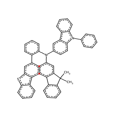 CC1(C)c2ccccc2-c2ccc(N(c3ccc4c(c3)c3ccccc3n4-c3ccccc3)c3ccccc3-c3ccc4c(c3)sc3ccccc34)cc21